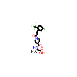 CC(NC(=O)C1CCN(C(=O)C=Cc2cc(F)ccc2C(F)(F)F)CC1)C(=O)O